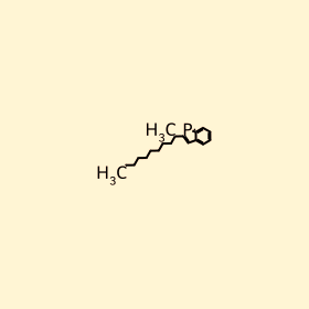 CCCCCCCCCC(C)C1=Cc2ccccc2[P]1